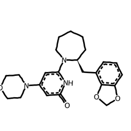 O=c1cc(N2CCOCC2)cc(N2CCCCC[C@H]2Cc2cccc3c2OCO3)[nH]1